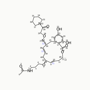 CC(=O)NCCCO[C@@H]1/C=C/C[C@@H](C)OC(=O)c2c(O)cc(O)cc2CC(=N\OCC(=O)N2CCCCC2)/C=C/C1